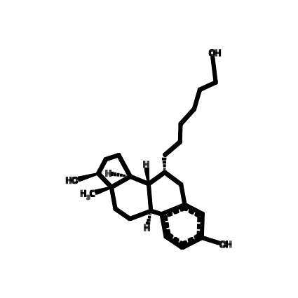 C[C@]12CC[C@@H]3c4ccc(O)cc4C[C@@H](CCCCCCO)[C@H]3[C@@H]1CC[C@@H]2O